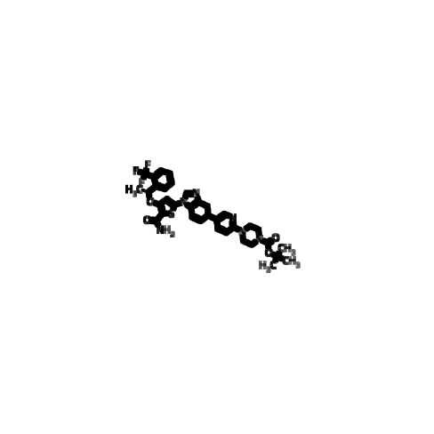 C[C@@H](Oc1cc(-n2cnc3c2C=CC(c2ccc(N4CCN(C(=O)OC(C)(C)C)CC4)nc2)C3)sc1C(N)=O)c1ccccc1C(F)(F)F